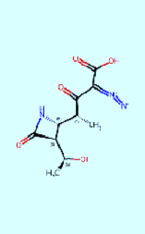 C[C@H](O)[C@H]1C(=O)N[C@@H]1[C@@H](C)C(=O)C(=[N+]=[N-])C(=O)O